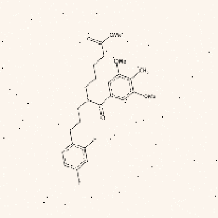 COC(=O)CCCCN(CCCc1ccc(F)cc1F)C(=O)c1cc(OC)c(C)c(OC)c1